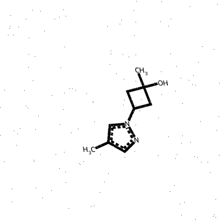 Cc1cnn(C2CC(C)(O)C2)c1